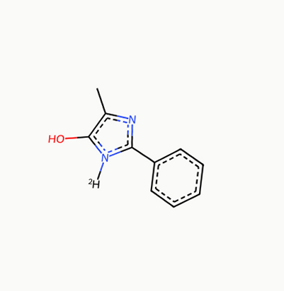 [2H]n1c(-c2ccccc2)nc(C)c1O